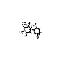 CCN1C(C)=C(C(=O)O)C(CC)(c2cc(Br)ccc2F)C(C(=O)O)=C1C